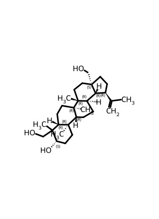 C=C(C)[C@@H]1CC[C@]2(CO)CC[C@]3(C)[C@H](CC[C@@H]4[C@@]5(C)CC[C@H](O)C(C)(CO)[C@@H]5CC[C@]43C)[C@@H]12